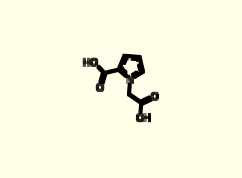 O=C(O)Cn1cccc1C(=O)O